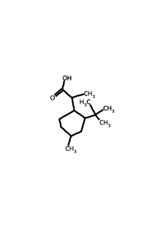 CC1CCC(C(C)C(=O)O)C(C(C)(C)C)C1